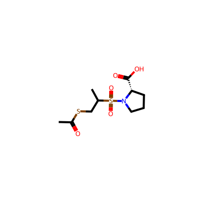 CC(=O)SCC(C)S(=O)(=O)N1CCC[C@H]1C(=O)O